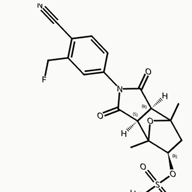 CC12C[C@@H](OS(N)(=O)=O)C(C)(O1)[C@H]1C(=O)N(c3ccc(C#N)c(CF)c3)C(=O)[C@H]12